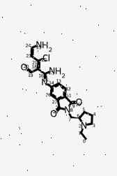 CCN1CCC[C@@H]1CN1C(=O)c2ccc(/N=C(N)/C(C=O)=C(Cl)/C=C\N)cc2C1=O